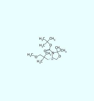 COCC(C)(C)C[C@H]1COC(C)(C)N1C(=O)OC(C)(C)C